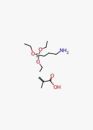 C=C(C)C(=O)O.CCO[Si](CCCN)(OCC)OCC